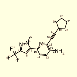 Cn1nc(C(F)(F)F)cc1-c1ccc(N)c(C#CC2CCCC2)n1